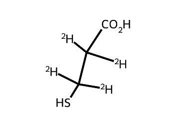 [2H]C([2H])(S)C([2H])([2H])C(=O)O